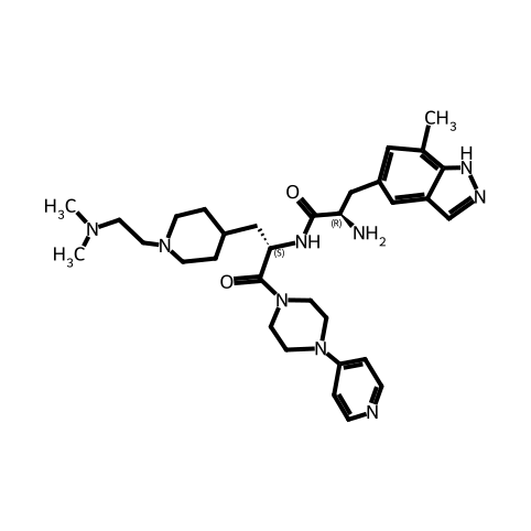 Cc1cc(C[C@@H](N)C(=O)N[C@@H](CC2CCN(CCN(C)C)CC2)C(=O)N2CCN(c3ccncc3)CC2)cc2cn[nH]c12